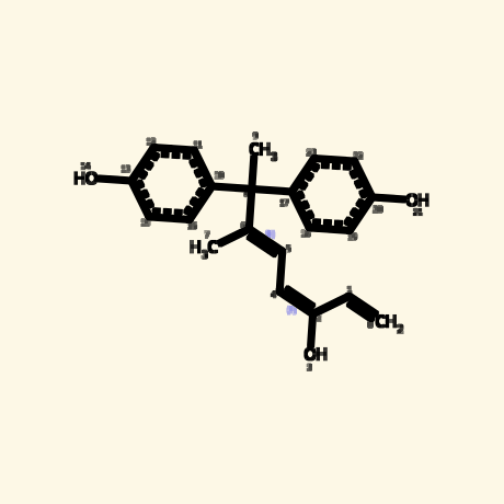 C=C/C(O)=C\C=C(/C)C(C)(c1ccc(O)cc1)c1ccc(O)cc1